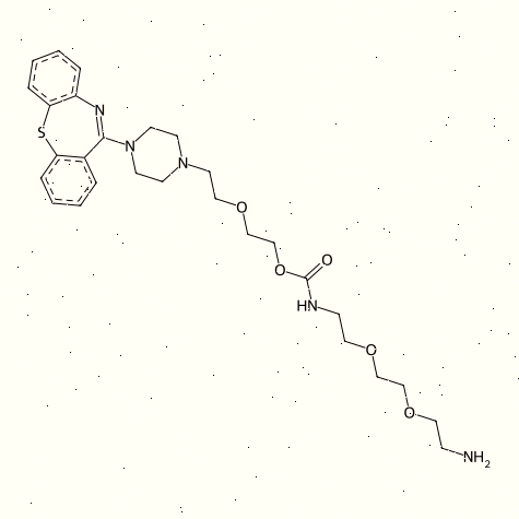 NCCOCCOCCNC(=O)OCCOCCN1CCN(C2=Nc3ccccc3Sc3ccccc32)CC1